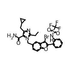 CCc1nc(CC2CC2)c(C(N)=O)n1Cc1ccc2oc(-c3ccccc3NS(=O)(=O)C(F)(F)F)c(Br)c2c1